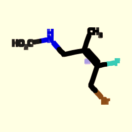 C/C(CNC(=O)O)=C(\F)CBr